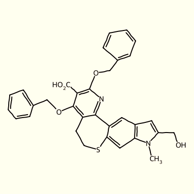 Cn1c(CO)cc2cc3c(cc21)SCCc1c-3nc(OCc2ccccc2)c(C(=O)O)c1OCc1ccccc1